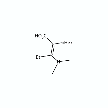 CCCCCCC(C(=O)O)=C(CC)N(C)C